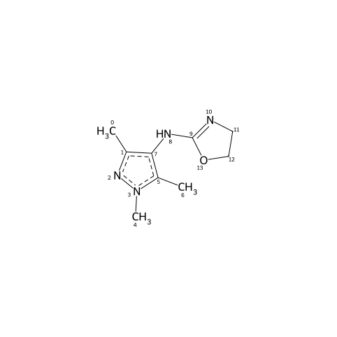 Cc1nn(C)c(C)c1NC1=NCCO1